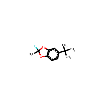 CC1(F)Oc2ccc(C(C)(C)C)cc2O1